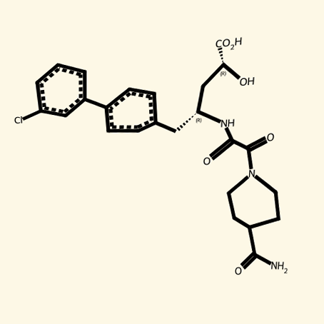 NC(=O)C1CCN(C(=O)C(=O)N[C@H](Cc2ccc(-c3cccc(Cl)c3)cc2)C[C@@H](O)C(=O)O)CC1